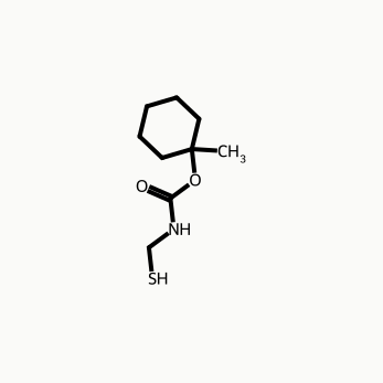 CC1(OC(=O)NCS)CCCCC1